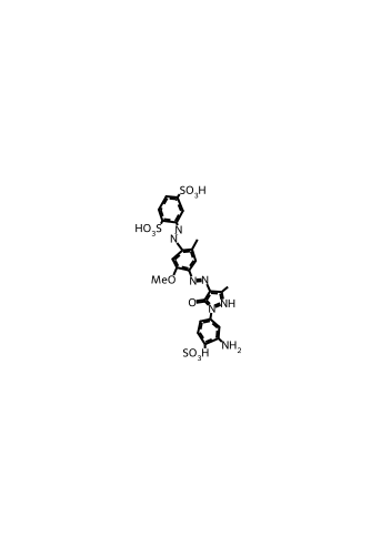 COc1cc(N=Nc2cc(S(=O)(=O)O)ccc2S(=O)(=O)O)c(C)cc1N=Nc1c(C)[nH]n(-c2ccc(S(=O)(=O)O)c(N)c2)c1=O